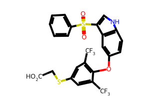 O=C(O)CSc1cc(C(F)(F)F)c(Oc2ccc3[nH]cc(S(=O)(=O)c4ccccc4)c3c2)c(C(F)(F)F)c1